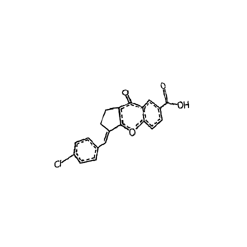 O=C(O)c1ccc2oc3c(c(=O)c2c1)CCC3=Cc1ccc(Cl)cc1